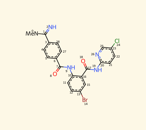 CNC(=N)c1ccc(C(=O)Nc2ccc(Br)cc2C(=O)Nc2ccc(Cl)cn2)cc1